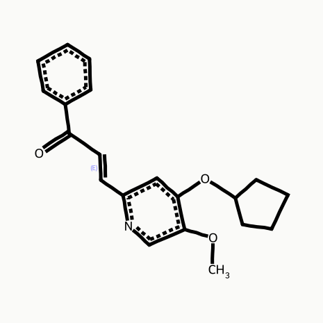 COc1cnc(/C=C/C(=O)c2ccccc2)cc1OC1CCCC1